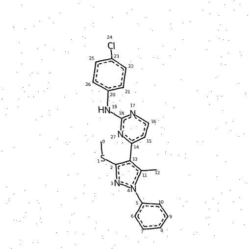 CSc1nn(-c2ccccc2)c(C)c1-c1ccnc(Nc2ccc(Cl)cc2)n1